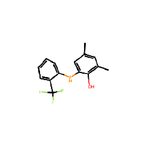 Cc1cc(C)c(O)c(Pc2ccccc2C(F)(F)F)c1